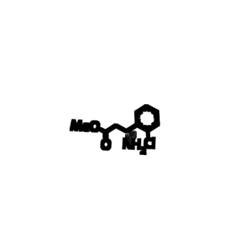 COC(=O)C[C@@H](N)c1ccccc1Cl